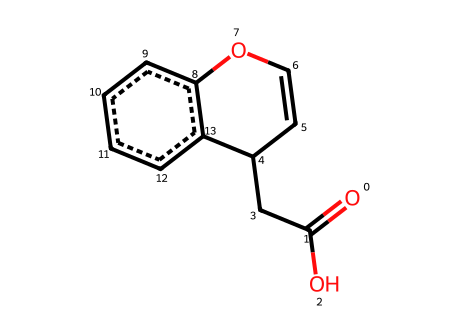 O=C(O)CC1C=COc2ccccc21